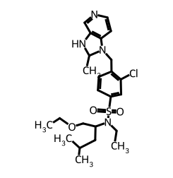 CCOCC(CC(C)C)N(CC)S(=O)(=O)c1ccc(CN2c3ccncc3NC2C)c(Cl)c1